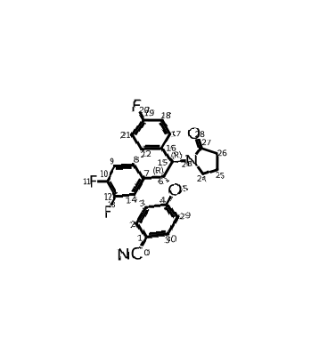 N#Cc1ccc(O[C@H](c2ccc(F)c(F)c2)[C@@H](c2ccc(F)cc2)N2CCCC2=O)cc1